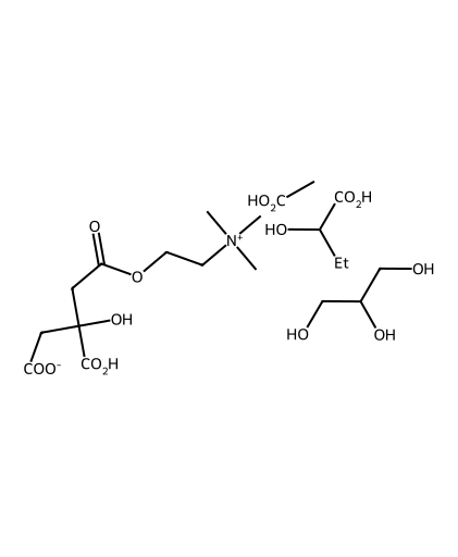 CC(=O)O.CCC(O)C(=O)O.C[N+](C)(C)CCOC(=O)CC(O)(CC(=O)[O-])C(=O)O.OCC(O)CO